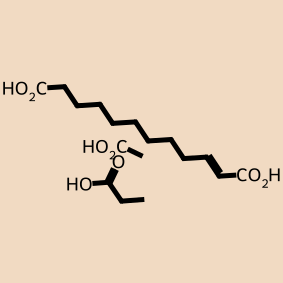 CC(=O)O.CCC(=O)O.O=C(O)/C=C/CCCCCCCCC(=O)O